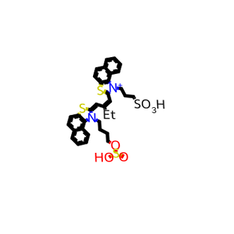 CCC(=Cc1sc2ccc3ccccc3c2[n+]1CCCS(=O)(=O)O)C=C1Sc2ccc3ccccc3c2N1CCCCOS(=O)O